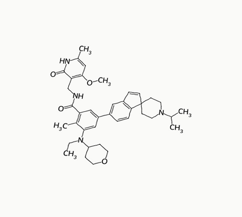 CCN(c1cc(-c2ccc3c(c2)C=CC32CCN(C(C)C)CC2)cc(C(=O)NCc2c(OC)cc(C)[nH]c2=O)c1C)C1CCOCC1